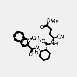 COC(=O)CC[C@@H](C#N)NC(=O)[C@@H]1CCCC[C@@H]1NC(=O)c1cc2ccccc2n1C